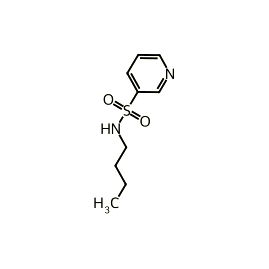 CCCCNS(=O)(=O)c1cccnc1